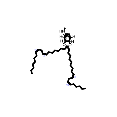 CCCCC/C=C\C/C=C\CCCCCCCCC1(CCCCCC/C=C\C/C=C\CCCCCCC)O[C@@H]2[C@@H]3C[C@H]([C@@H]2O1)[C@H](NC)C3